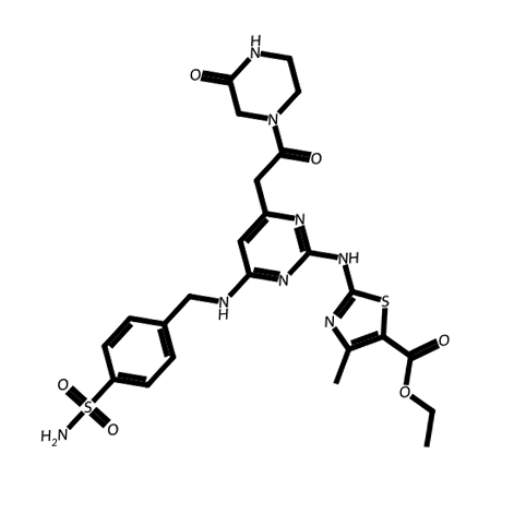 CCOC(=O)c1sc(Nc2nc(CC(=O)N3CCNC(=O)C3)cc(NCc3ccc(S(N)(=O)=O)cc3)n2)nc1C